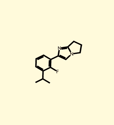 CC(C)c1cccc(-c2cn3c(n2)CCC3)c1F